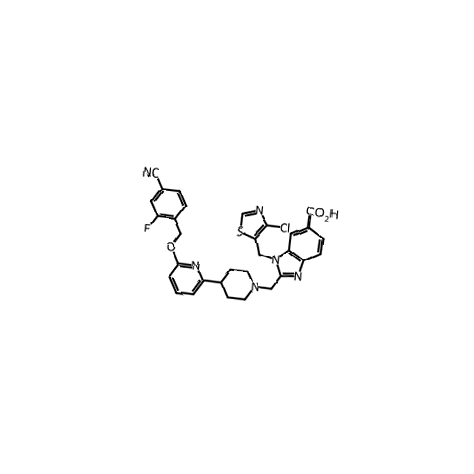 N#Cc1ccc(COc2cccc(C3CCN(Cc4nc5ccc(C(=O)O)cc5n4Cc4scnc4Cl)CC3)n2)c(F)c1